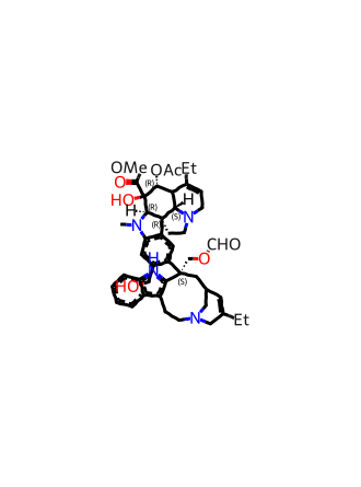 CCC1=CC2CN(CCc3c([nH]c4ccccc34)[C@@](COC=O)(c3cc4c(cc3CO)N(C)[C@H]3C(O)(C(=O)OC)[C@H](OC(C)=O)C5C(CC)=CCN6CC[C@]43[C@H]56)C2)C1